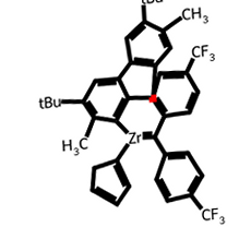 Cc1cc2c(cc1C(C)(C)C)-c1cc(C(C)(C)C)c(C)[c]([Zr]([C]3=CC=CC3)=[C](c3ccc(C(F)(F)F)cc3)c3ccc(C(F)(F)F)cc3)c1C2